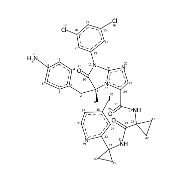 C[C@@]1(Cc2ccc(N)cc2)C(=O)N(c2cc(Cl)cc(Cl)c2)c2ncc(C(=O)NC3(C(=O)NC4(c5cc(I)ccn5)CC4)CC3)n21